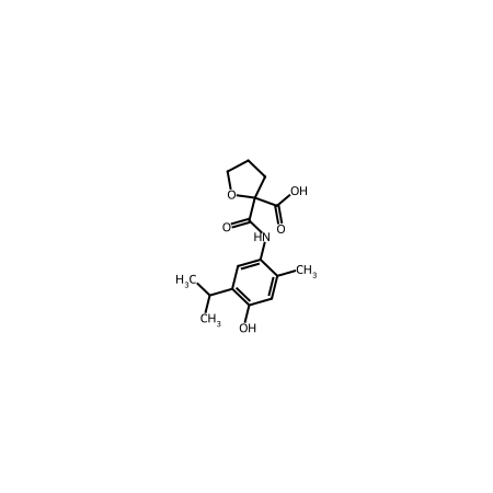 Cc1cc(O)c(C(C)C)cc1NC(=O)C1(C(=O)O)CCCO1